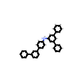 c1ccc(-c2cccc(-c3ccc(Nc4cc(-c5ccccc5)cc(-c5ccccc5)c4)cc3)c2)cc1